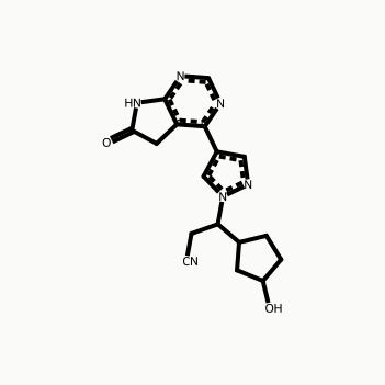 N#CCC(C1CCC(O)C1)n1cc(-c2ncnc3c2CC(=O)N3)cn1